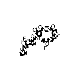 Cn1c(-c2cn(-c3ncccn3)nc2C(F)(F)F)cnc1C(=O)Nc1ccc(C(=O)N2CCN(C(=O)C3CC[N+](C)(CC4CN(C(=O)OC(C)(C)C)C4)CC3)CC2)c(Cl)c1.[I-]